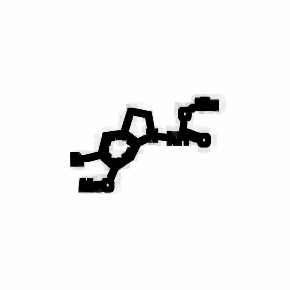 COc1cc2c(cc1Br)CCN2NC(=O)OC(C)(C)C